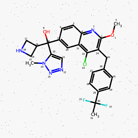 COc1nc2ccc(C(O)(c3cnnn3C)C3CNC3)cc2c(Cl)c1Cc1ccc(C(C)(F)F)cc1